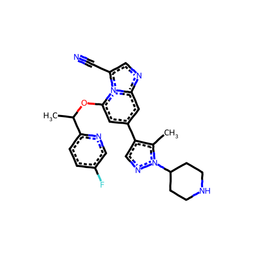 Cc1c(-c2cc(OC(C)c3ccc(F)cn3)n3c(C#N)cnc3c2)cnn1C1CCNCC1